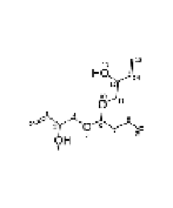 C=CC(O)COC(CCF)OCC(O)C=C